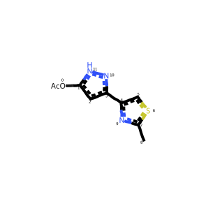 CC(=O)Oc1cc(-c2csc(C)n2)n[nH]1